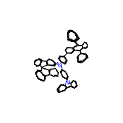 C1=CC2c3ccccc3C3(c4ccccc4-c4ccc(N(c5ccc(-c6ccc7c(-c8ccccc8)c8ccccc8c(-c8ccccc8)c7c6)cc5)c5ccc(-n6c7ccccc7c7ccccc76)cc5)cc43)C2C=C1